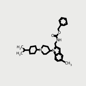 Cc1ccc2c(c1)cc(CNC(=O)OCc1ccccc1)n2C1CCN(C2CCC(C(C)C)CC2)CC1